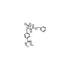 C/C=N\C(=N/OC)c1ccc(C[C@H](NC(=O)OCc2ccccc2)C(=O)O)cc1